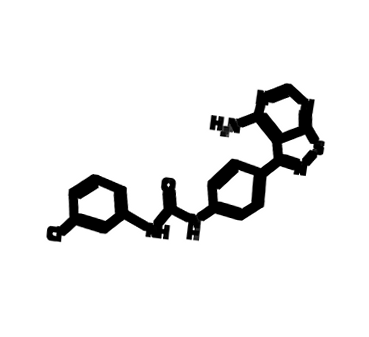 Nc1ncnc2snc(-c3ccc(NC(=O)Nc4cccc(Cl)c4)cc3)c12